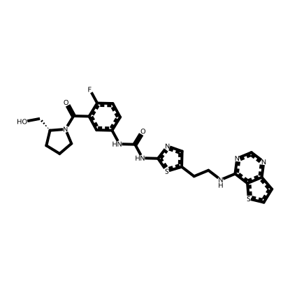 O=C(Nc1ccc(F)c(C(=O)N2CCC[C@@H]2CO)c1)Nc1ncc(CCNc2ncnc3ccsc23)s1